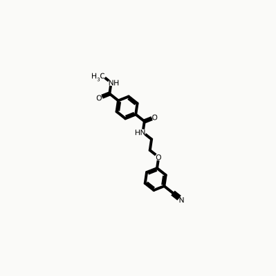 CNC(=O)c1ccc(C(=O)NCCOc2cccc(C#N)c2)cc1